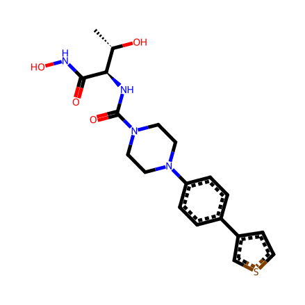 C[C@H](O)[C@@H](NC(=O)N1CCN(c2ccc(-c3ccsc3)cc2)CC1)C(=O)NO